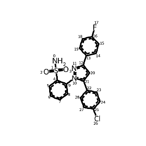 NS(=O)(=O)c1ccccc1-n1nc(-c2ccc(F)cc2)cc1-c1ccc(Cl)cc1